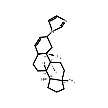 C[C@@]12CCC[C@H]1[C@@H]1CCC3C=CC(n4ccnc4)C[C@]3(C)[C@H]1CC2